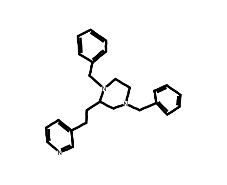 c1ccc(CN2CCN(Cc3ccccc3)C(CCc3cccnc3)C2)cc1